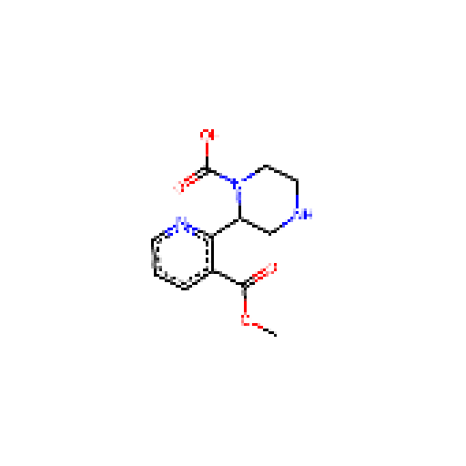 COC(=O)c1cccnc1C1CNCCN1C(=O)O